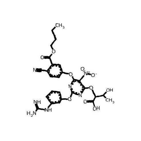 CCCCOC(=O)c1cc(Oc2nc(Oc3cccc(NC(=N)N)c3)nc(OC(C(=O)O)C(C)O)c2[N+](=O)[O-])ccc1C#N